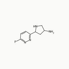 NC1CNC(c2ccc(F)nn2)C1